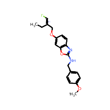 CC/C(=C\F)COc1ccc2nc(NCc3ccc(OC)cc3)oc2c1